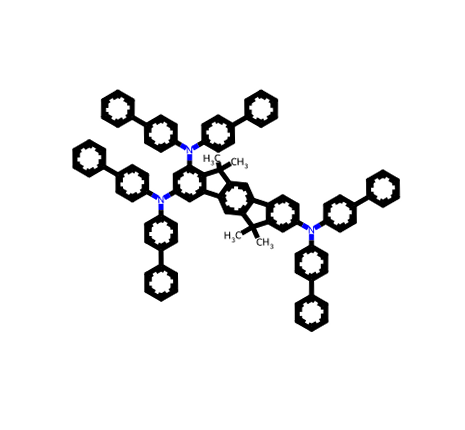 CC1(C)c2cc(N(c3ccc(-c4ccccc4)cc3)c3ccc(-c4ccccc4)cc3)ccc2-c2cc3c(cc21)-c1cc(N(c2ccc(-c4ccccc4)cc2)c2ccc(-c4ccccc4)cc2)cc(N(c2ccc(-c4ccccc4)cc2)c2ccc(-c4ccccc4)cc2)c1C3(C)C